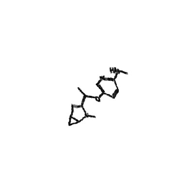 C[AsH]c1ccc(OC(C)C2CC3CC3N2C)cn1